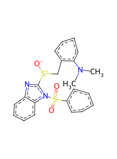 CN(C)c1ccccc1C[S+]([O-])c1nc2ccccc2n1S(=O)(=O)c1ccccc1